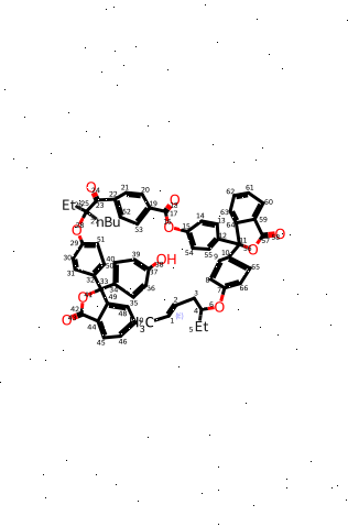 C/C=C/CC(CC)Oc1ccc(C2(c3ccc(OC(=O)c4ccc(C(=O)C(CC)(CCCC)Oc5ccc(C6(c7ccc(O)cc7)OC(=O)c7ccccc76)cc5)cc4)cc3)OC(=O)c3ccccc32)cc1